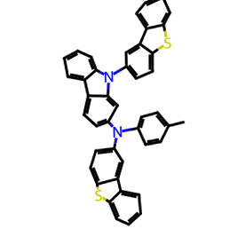 Cc1ccc(N(c2ccc3sc4ccccc4c3c2)c2ccc3c4ccccc4n(-c4ccc5sc6ccccc6c5c4)c3c2)cc1